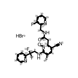 Br.N#Cc1cc(F)c(NCC(F)(F)c2ccccn2)[n+]([O-])c1CC(=O)NCc1ncccc1F